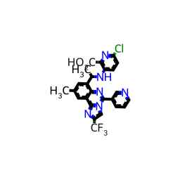 Cc1cc(C(C)Nc2ccc(Cl)nc2C(=O)O)c2nc(-c3cccnc3)n3cc(C(F)(F)F)nc3c2c1